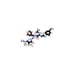 C=C(CN(CC)CC)C(=O)NC[C@@H](NC(=O)[C@H](Cc1nc2ccc(C(C)C)cc2s1)NC(=O)CC)C1CCOCC1